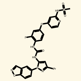 CC(C)c1cc(NC(=O)Nc2ccc(Oc3ccnc(NS(C)(=O)=O)c3)cc2F)n(-c2ccc3oncc3c2)n1